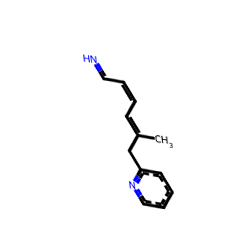 C/C(=C\C=C/C=N)Cc1ccccn1